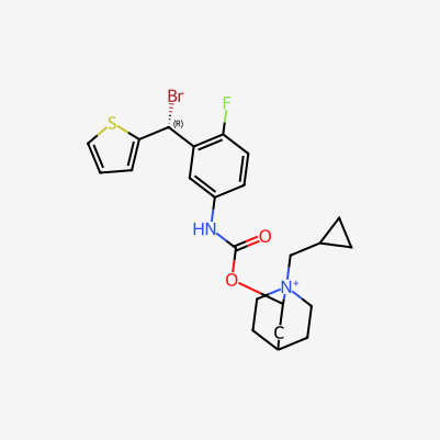 O=C(Nc1ccc(F)c([C@@H](Br)c2cccs2)c1)OC1CC2CC[N+]1(CC1CC1)CC2